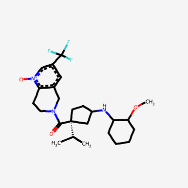 COC1CCCCC1NC1CC[C@@](C(=O)N2CCc3c(cc(C(F)(F)F)c[n+]3[O-])C2)(C(C)C)C1